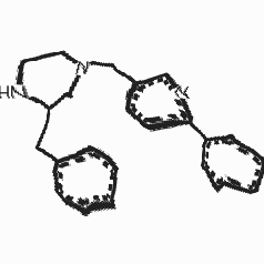 c1ccc(CC2CN(Cc3ccc(-c4ccccc4)nc3)CCN2)cc1